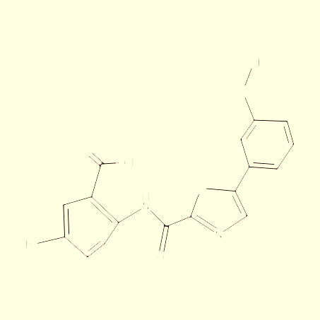 COc1cccc(-c2cnc(C(=O)Nc3ccc(Br)cc3C(=O)O)o2)c1